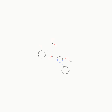 CCOc1cc(C(=O)N[C@@H](CC(=O)O)c2ccccc2OC)nn1-c1ccccc1Cl